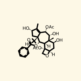 CC(=O)O[C@H]1C2=C(C)[C@@H](O)C[C@@]2(C(C)(C)O)[C@@H](OC(=O)c2ccccc2)[C@@H]2[C@]3(OC(C)=O)CO[C@@H]3C[C@H](O)[C@@]2(C)[C@H]1O